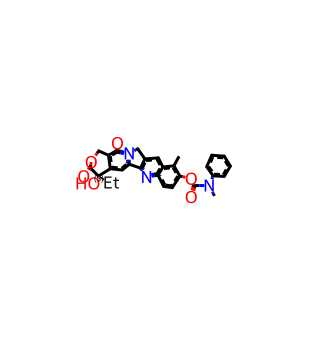 CC[C@@]1(O)C(=O)OCc2c1cc1n(c2=O)Cc2cc3c(C)c(OC(=O)N(C)c4ccccc4)ccc3nc2-1